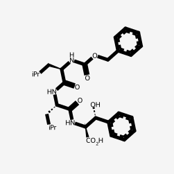 CC(C)C[C@H](NC(=O)[C@@H](CC(C)C)NC(=O)OCc1ccccc1)C(=O)N[C@H](C(=O)O)[C@H](O)c1ccccc1